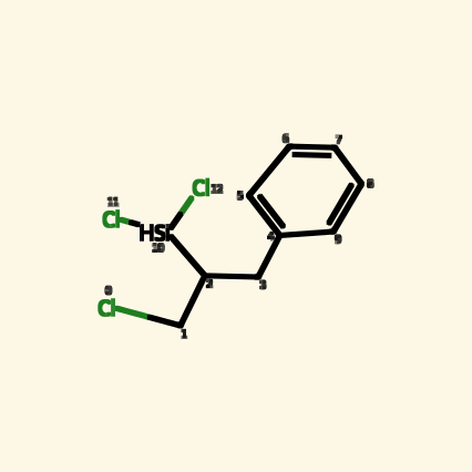 ClCC(Cc1ccccc1)[SiH](Cl)Cl